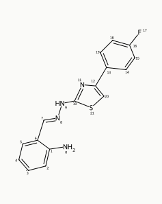 Nc1c[c]ccc1C=NNc1nc(-c2ccc(F)cc2)cs1